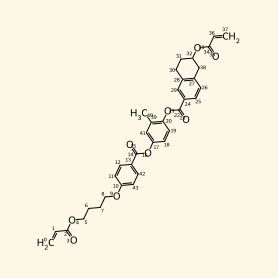 C=CC(=O)OCCCCOc1ccc(C(=O)Oc2ccc(OC(=O)c3ccc4c(c3)CCC(OC(=O)C=C)C4)c(C)c2)cc1